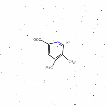 COc1cc(C(=O)[O-])ncc1C.[K+]